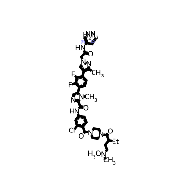 CCC(CCN(C)C)C(=O)N1CCN(C(=O)c2ccc(NC(=O)c3ncc(-c4ccc(-c5cn(CC(=O)NC(/C=C\N)=C/N)nc5C)c(F)c4F)n3C)cc2Cl)CC1